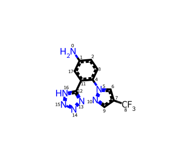 Nc1ccc(-n2cc(C(F)(F)F)cn2)c(-c2nnn[nH]2)c1